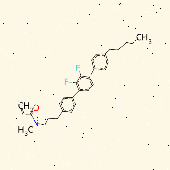 C=CC(=O)N(C)CCCc1ccc(-c2ccc(-c3ccc(CCCCC)cc3)c(F)c2F)cc1